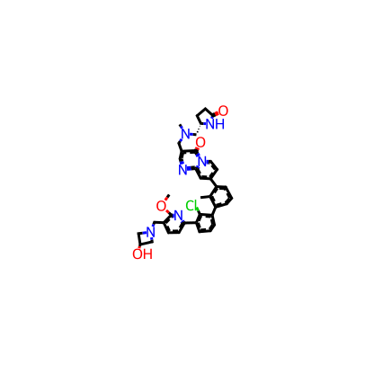 COc1nc(-c2cccc(-c3cccc(-c4ccn5c(=O)c(CN(C)C[C@@H]6CCC(=O)N6)cnc5c4)c3C)c2Cl)ccc1CN1CC(O)C1